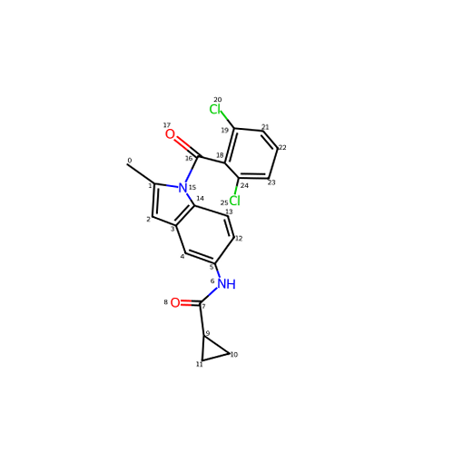 Cc1cc2cc(NC(=O)C3CC3)ccc2n1C(=O)c1c(Cl)cccc1Cl